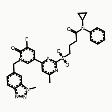 Cc1cc(-c2cc(F)c(=O)n(Cc3ccc4nnn(C)c4c3)c2)nc(S(=O)(=O)CCCC(=O)N(c2ccccc2)C2CC2)n1